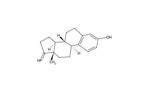 C[C@]12CC[C@@H]3c4ccc(O)cc4CC[C@H]3[C@@H]1CCC2=P